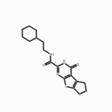 O=C(NCCC1CCCCC1)c1nc2sc3c(c2c(=O)[nH]1)CCC3